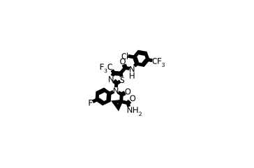 NC(=O)C1(C(=O)N(c2ccc(F)cc2)c2nc(C(F)(F)F)c(C(=O)Nc3cc(C(F)(F)F)ccc3Cl)s2)CC1